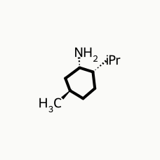 CC(C)[C@@H]1CC[C@@H](C)C[C@@H]1N